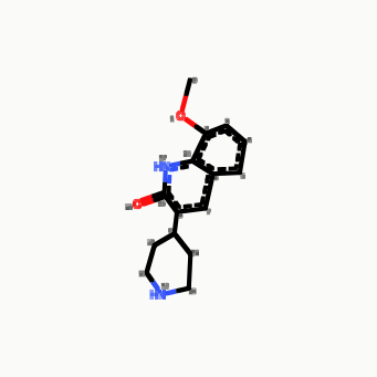 COc1cccc2cc(C3CCNCC3)c(=O)[nH]c12